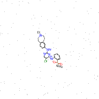 CCN1CCc2ccc(Nc3ncc(Cl)c(Nc4ccccc4S(=O)(=O)NC)n3)cc2CC1